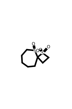 O=S1(=O)CCCCCC12CCS2(=O)=O